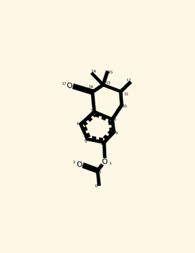 CC(=O)Oc1ccc2c(c1)CC(C)C(C)(C)C2=O